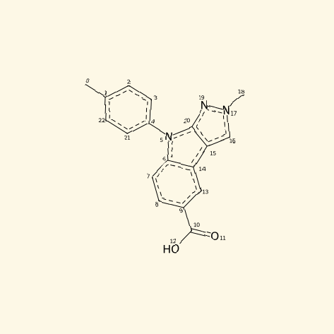 Cc1ccc(-n2c3ccc(C(=O)O)cc3c3cn(C)nc32)cc1